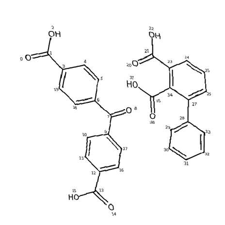 O=C(O)c1ccc(C(=O)c2ccc(C(=O)O)cc2)cc1.O=C(O)c1cccc(-c2ccccc2)c1C(=O)O